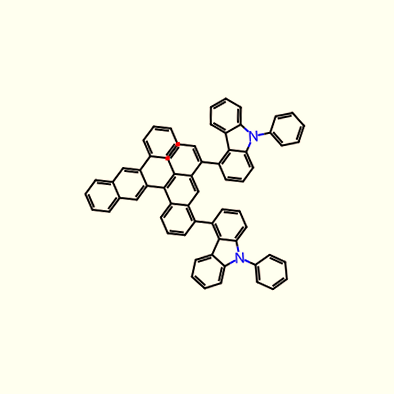 c1ccc(-c2cc3ccccc3cc2-c2c3cccc(-c4cccc5c4c4ccccc4n5-c4ccccc4)c3cc3c(-c4cccc5c4c4ccccc4n5-c4ccccc4)cccc23)cc1